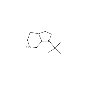 CC(C)(C)N1CCC2CCNCC21